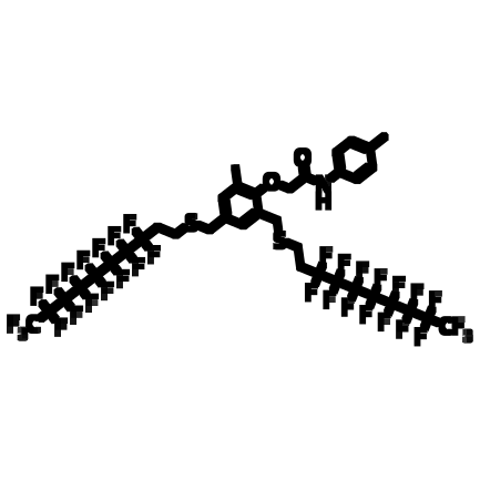 Cc1ccc(NC(=O)COc2c(C)cc(CSCCC(F)(F)C(F)(F)C(F)(F)C(F)(F)C(F)(F)C(F)(F)C(F)(F)C(F)(F)F)cc2CSCCC(F)(F)C(F)(F)C(F)(F)C(F)(F)C(F)(F)C(F)(F)C(F)(F)C(F)(F)F)cc1